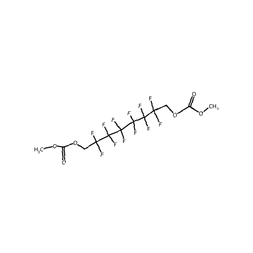 COC(=O)OCC(F)(F)C(F)(F)C(F)(F)C(F)(F)C(F)(F)C(F)(F)COC(=O)OC